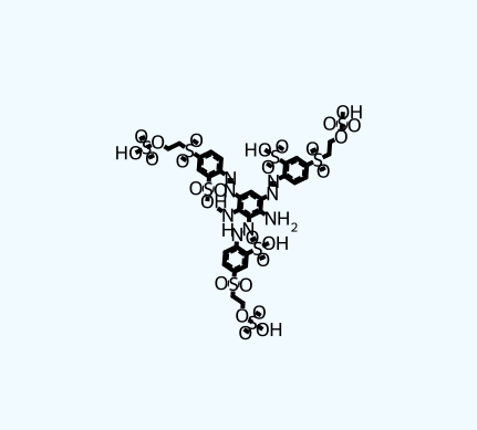 CNc1c(/N=N/c2ccc(S(=O)(=O)CCOS(=O)(=O)O)cc2S(=O)(=O)O)cc(/N=N/c2ccc(S(=O)(=O)CCOS(=O)(=O)O)cc2S(=O)(=O)O)c(N)c1/N=N/c1ccc(S(=O)(=O)CCOS(=O)(=O)O)cc1S(=O)(=O)O